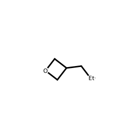 C[CH]CC1COC1